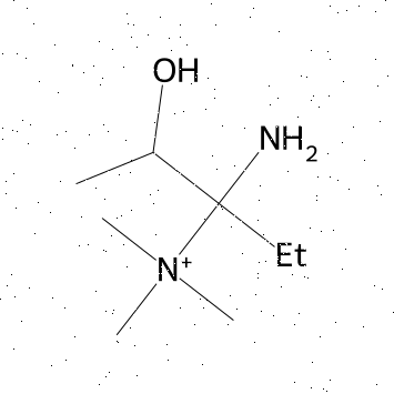 CCC(N)(C(C)O)[N+](C)(C)C